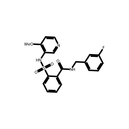 COc1ccncc1NS(=O)(=O)c1ccccc1C(=O)NCc1cccc(F)c1